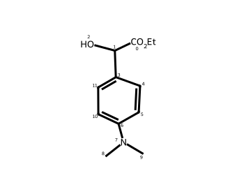 CCOC(=O)C(O)c1ccc(N(C)C)cc1